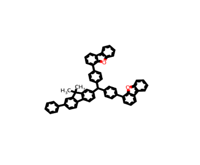 CC1(C)c2cc(-c3ccccc3)ccc2-c2ccc(C(c3ccc(-c4cccc5c4oc4ccccc45)cc3)c3ccc(-c4cccc5c4oc4ccccc45)cc3)cc21